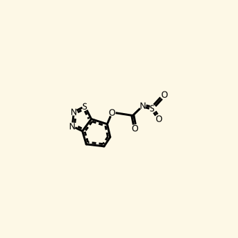 O=C(N=S(=O)=O)Oc1cccc2nnsc12